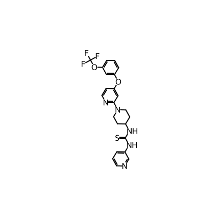 FC(F)(F)Oc1cccc(Oc2ccnc(N3CCC(NC(=S)Nc4cccnc4)CC3)c2)c1